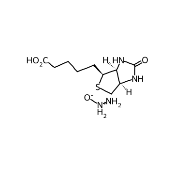 N[NH2+][O-].O=C(O)CCCC[C@@H]1SC[C@@H]2NC(=O)N[C@@H]21